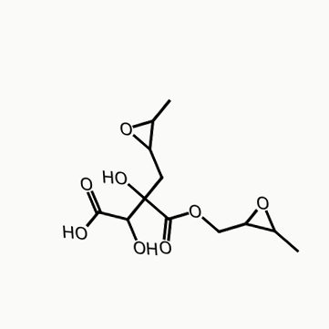 CC1OC1COC(=O)C(O)(CC1OC1C)C(O)C(=O)O